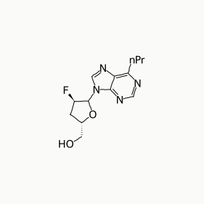 CCCc1ncnc2c1ncn2C1O[C@H](CO)C[C@H]1F